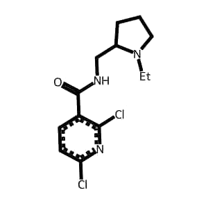 CCN1CCCC1CNC(=O)c1ccc(Cl)nc1Cl